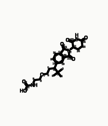 CC(C)(C)C(CCOCCNC(=O)O)c1ccc2c(c1)C(=O)N(C1CCC(=O)NC1=O)C2=O